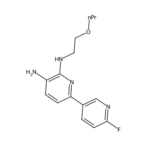 CCCOCCNc1nc(-c2ccc(F)nc2)ccc1N